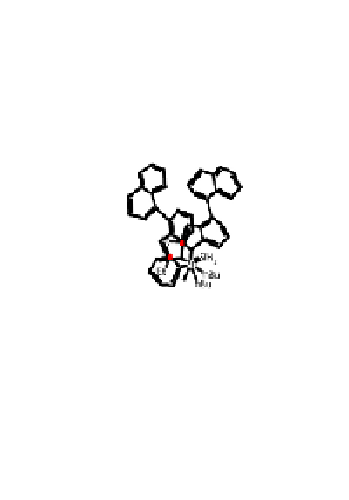 CCC[CH2][Zr]([CH3])(=[SiH2])([CH2]CCC)([c]1ccccc1)([CH]1C(CC)=Cc2c(-c3cccc4ccccc34)cccc21)[CH]1C(CC)=Cc2c(-c3cccc4ccccc34)cccc21